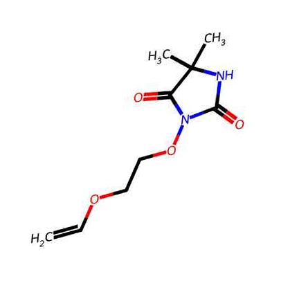 C=COCCON1C(=O)NC(C)(C)C1=O